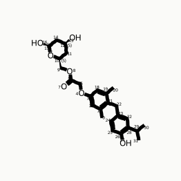 Cc1cc(OCC(=O)OC[C@@H]2C[C@H](O)C[C@H](O)O2)cc(C)c1Cc1ccc(O)c(C(C)C)c1